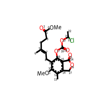 COC(=O)CC/C(C)=C/Cc1c(OC)c(C)c2c(c1OC(=O)OC(C)Cl)C(=O)OC2